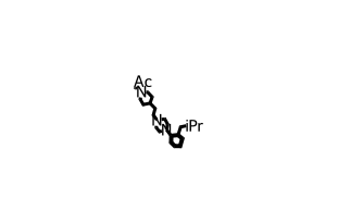 CC(=O)CN1CCC(CCN2CCN(c3ccccc3CC(C)C)CC2)CC1